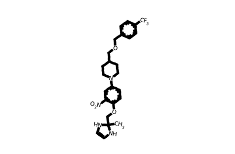 CC1(COc2ccc(N3CCC(COCc4ccc(C(F)(F)F)cc4)CC3)cc2[N+](=O)[O-])NC=CN1